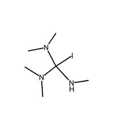 CNC(I)(N(C)C)N(C)C